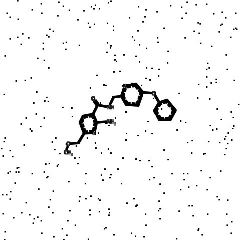 COCc1ccc(C(=O)NCc2ccc(Oc3ccccc3)cn2)c(N)n1